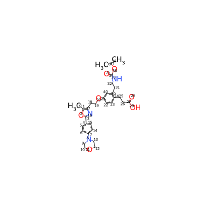 Cc1oc(-c2ccc(N3CCOCC3)cc2)nc1CCOc1ccc(CCC(=O)O)c(CCNC(=O)OC(C)C)c1